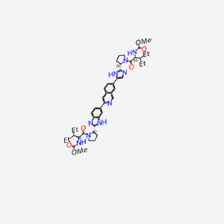 CCC(CC)[C@H](NC(=O)OC)C(=O)N1CCC[C@H]1c1ncc(-c2ccc3cc(-c4ccc5nc([C@@H]6CCCN6C(=O)[C@@H](NC(=O)OC)C(CC)CC)[nH]c5c4)ncc3c2)[nH]1